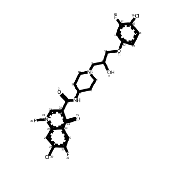 O=C(NC1CCN(CC(O)COc2ccc(Cl)c(F)c2)CC1)c1cn(F)c2cc(Cl)c(F)cc2c1=O